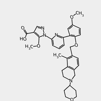 COc1ccc(OCc2ccc3c(c2C)CCN(C2CCOCC2)C3)c(-c2cccc(-n3ncc(C(=O)O)c3OC)n2)c1